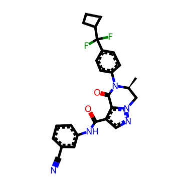 C[C@H]1Cn2ncc(C(=O)Nc3cccc(C#N)c3)c2C(=O)N1c1ccc(C(F)(F)C2CCC2)cc1